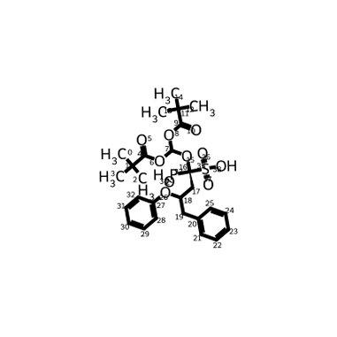 CC(C)(C)C(=O)OC(OC(=O)C(C)(C)C)O[C@@](CC(Cc1ccccc1)Oc1ccccc1)([PH2]=O)S(=O)(=O)O